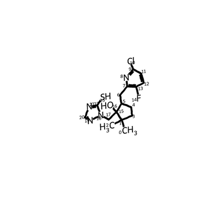 CC1(C)CCC(Cc2nc(Cl)ccc2F)C1(O)Cn1ncnc1S